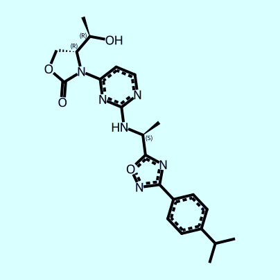 CC(C)c1ccc(-c2noc([C@H](C)Nc3nccc(N4C(=O)OC[C@@H]4[C@@H](C)O)n3)n2)cc1